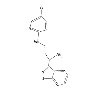 NC(CCNc1ccc(Cl)cn1)c1nsc2ccccc12